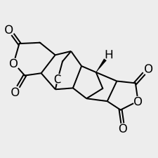 O=C1CC2C3CCC(C2C(=O)O1)C1C2C[C@@H](C4C(=O)OC(=O)C24)C31